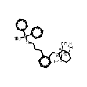 CC(C)(C)[Si](OCCCc1ccccc1C[C@H]1[C@@H](C(=O)O)[C@@H]2CC[C@@H]1O2)(c1ccccc1)c1ccccc1